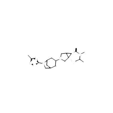 Cc1noc(N2CC3CC(N4C[C@@H]5[C@H](C4)[C@@H]5C(=O)N(C)C(C)C)CC2C3)n1